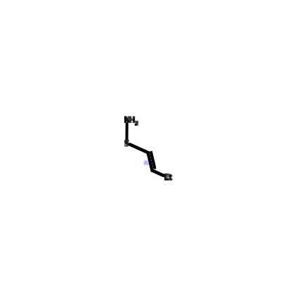 CC/C=C/SN